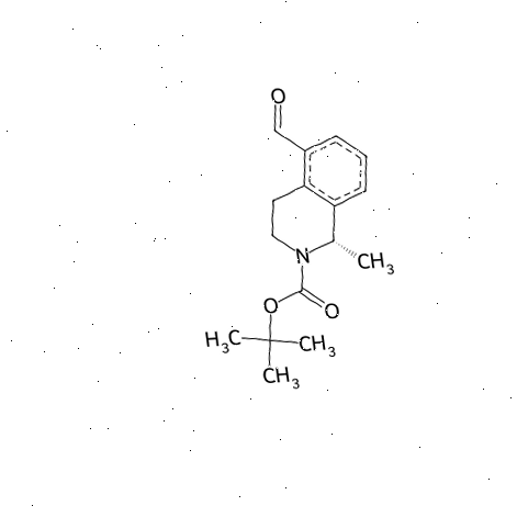 C[C@H]1c2cccc(C=O)c2CCN1C(=O)OC(C)(C)C